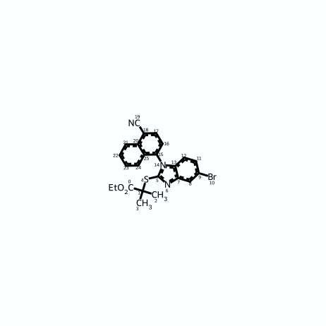 CCOC(=O)C(C)(C)Sc1nc2cc(Br)ccc2n1-c1ccc(C#N)c2ccccc12